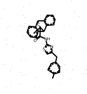 Cc1ccc(Cc2csc(NC(=O)C3(C)CC4c5ccccc5C3c3ccccc34)n2)cc1